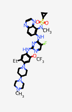 CCc1cc(Nc2ncc(F)c(Nc3ccc4nccnc4c3N(C)S(=O)(=O)C3CC3)n2)c(OC(F)(F)F)cc1N1CCC(N2CCN(C)CC2)CC1